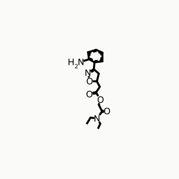 CCN(CC)C(=O)COC(=O)CC1CC(c2ccccc2N)=NO1